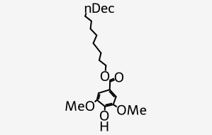 CCCCCCCCCCCCCCCCCCOC(=O)c1cc(OC)c(O)c(OC)c1